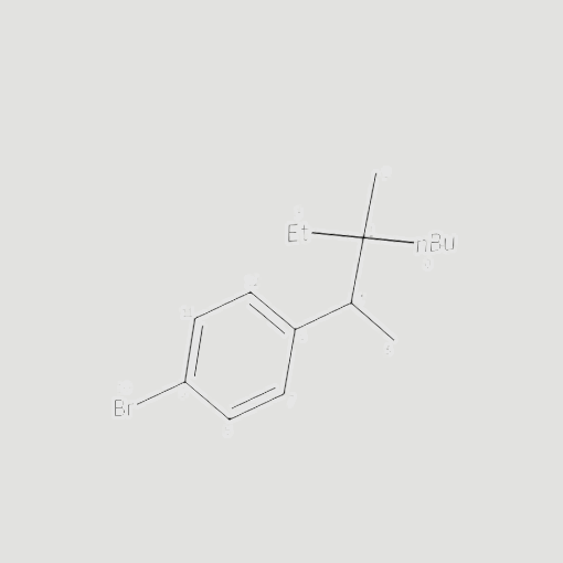 CCCCC(C)(CC)C(C)c1ccc(Br)cc1